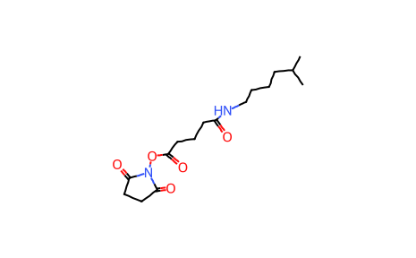 CC(C)CCCCNC(=O)CCCC(=O)ON1C(=O)CCC1=O